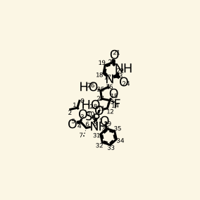 CC(C)OC(=O)[C@@H](C)NP(=S)(OC[C@@]1(F)O[C@@H](n2ccc(=O)[nH]c2=O)[C@H](O)[C@@H]1O)Oc1ccccc1